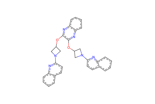 c1ccc2nc(N3CC(Oc4nc5ccccc5nc4OC4CN(c5ccc6ccccc6n5)C4)C3)ccc2c1